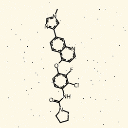 Cn1cnc(-c2ccc3c(Oc4ccc(NC(=O)N5CCCC5)c(Cl)c4F)ccnc3c2)c1